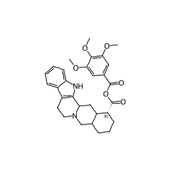 COc1cc(C(=O)OC(=O)[C@@H]2CCCC3CN4CCc5c([nH]c6ccccc56)C4CC32)cc(OC)c1OC